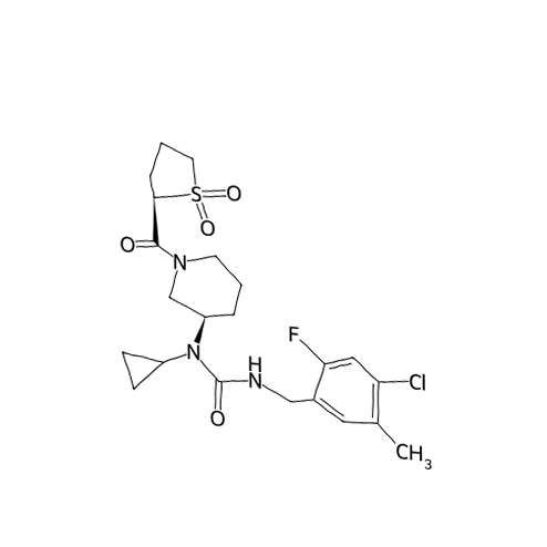 Cc1cc(CNC(=O)N(C2CC2)[C@@H]2CCCN(C(=O)[C@H]3CCCS3(=O)=O)C2)c(F)cc1Cl